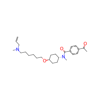 C=CCN(C)CCCCCCO[C@H]1CC[C@H](N(C)C(=O)c2ccc(C(C)=O)cc2)CC1